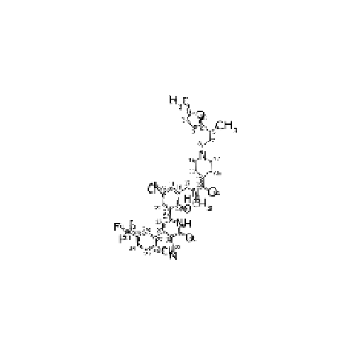 Cc1ccc(C(C)CCN2CCC(C(=O)N(C)Cc3cc(Cl)cc(-c4cc(-c5cc(C(F)(F)F)ccc5Cl)c(C#N)c(=O)[nH]4)c3O)CC2)o1